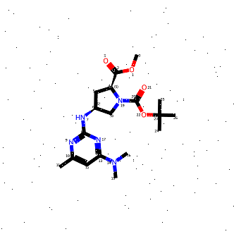 COC(=O)[C@@H]1C[C@H](Nc2nc(C)cc(N(C)C)n2)CN1C(=O)OC(C)(C)C